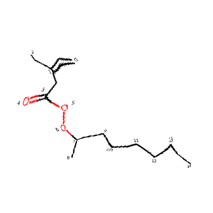 C=C(C)C(=O)OOC(C)CCCCCC